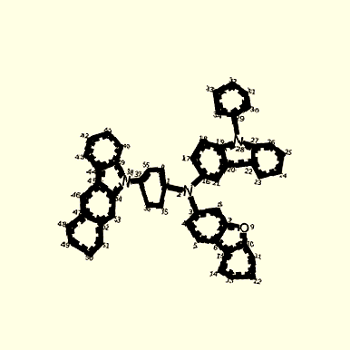 C1=C(N(c2ccc3c(c2)oc2ccccc23)c2ccc3c(c2)c2ccccc2n3-c2ccccc2)CCC(n2c3ccccc3c3cc4ccccc4cc32)=C1